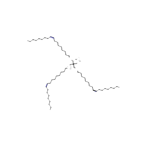 CCCCCCCC/C=C\CCCCCCCC(=O)NCC(COC(=O)CCCCCCC/C=C\CCCCCCCC)(COC(=O)CCCCCCC/C=C\CCCCCCCC)C[N+](C)(C)C